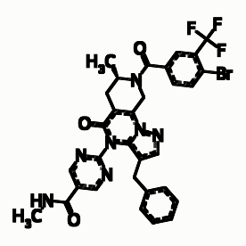 CNC(=O)c1cnc(-n2c(=O)c3c(n4ncc(Cc5ccccc5)c24)CN(C(=O)c2ccc(Br)c(C(F)(F)F)c2)[C@H](C)C3)nc1